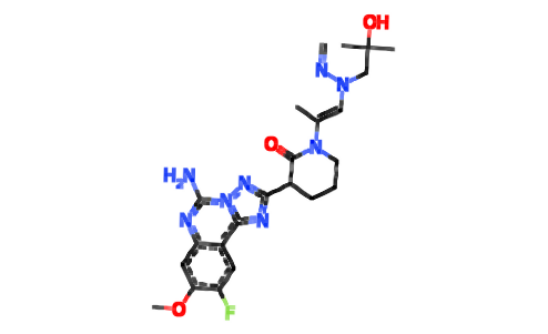 C=NN(/C=C(\C)N1CCCC(c2nc3c4cc(F)c(OC)cc4nc(N)n3n2)C1=O)CC(C)(C)O